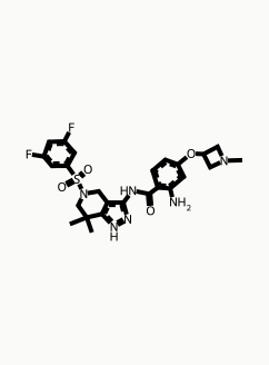 CN1CC(Oc2ccc(C(=O)Nc3n[nH]c4c3CN(S(=O)(=O)c3cc(F)cc(F)c3)CC4(C)C)c(N)c2)C1